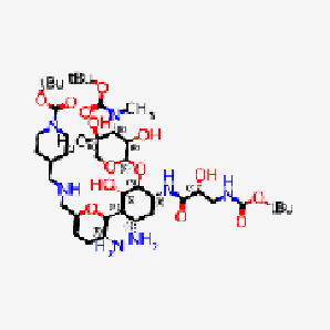 CN(C(=O)OC(C)(C)C)[C@@H]1[C@@H](O)[C@@H](O[C@@H]2[C@@H](O)[C@H](C3OC(CNCC4CCN(C(=O)OC(C)(C)C)CC4)=CC[C@H]3N)[C@@H](N)C[C@H]2NC(=O)[C@H](O)CNC(=O)OC(C)(C)C)OC[C@]1(C)O